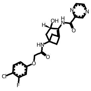 O=C(COc1ccc(Cl)c(F)c1)NC12CC(=C(NC(=O)c3cnccn3)[C@@H](O)C1)C2